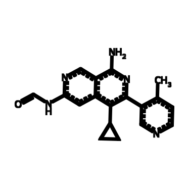 Cc1ccncc1-c1nc(N)c2cnc(NC=O)cc2c1C1CC1